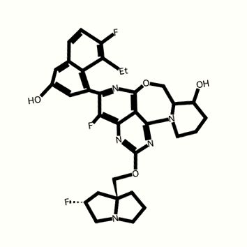 CCc1c(F)ccc2cc(O)cc(-c3nc4c5c(nc(OC[C@@]67CCCN6C[C@H](F)C7)nc5c3F)N3CCCC(O)C3CO4)c12